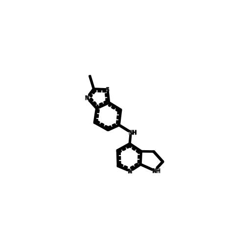 Cc1nc2ccc(Nc3ccnc4c3CCN4)cc2s1